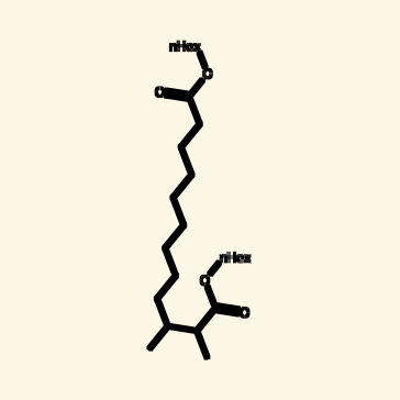 CCCCCCOC(=O)CCCCCCCCC(C)C(C)C(=O)OCCCCCC